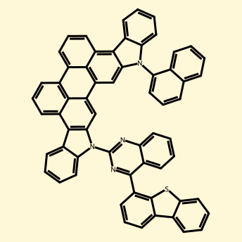 c1ccc2c(-n3c4ccccc4c4c5cccc6c7cccc8c7c(cc7c8c8ccccc8n7-c7nc(-c8cccc9c8sc8ccccc89)c8ccccc8n7)c(cc43)c65)cccc2c1